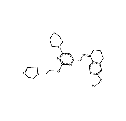 COc1ccc2c(c1)CCC/C2=N/Nc1cc(N2CCOCC2)nc(OCCN2CCOCC2)n1